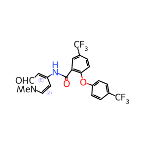 CN/C=C\C(=C/C=O)NC(=O)c1cc(C(F)(F)F)ccc1Oc1ccc(C(F)(F)F)cc1